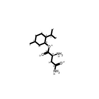 CC1CCC(C(C)C)C(OC(=O)[C@@H](N)CC(N)=O)C1